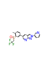 Cc1ccc(-c2cnc3nn(-c4cccnc4)cc3c2)cc1[S+]([O-])CC(F)(F)F